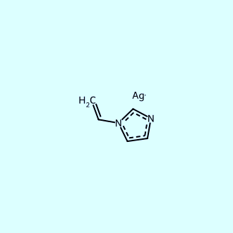 C=Cn1ccnc1.[Ag]